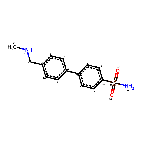 CNCc1ccc(-c2ccc(S(N)(=O)=O)cc2)cc1